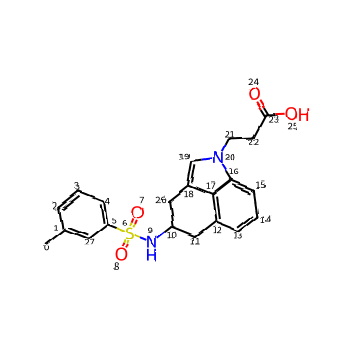 Cc1cccc(S(=O)(=O)NC2Cc3cccc4c3c(cn4CCC(=O)O)C2)c1